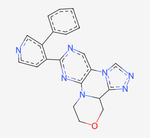 c1ccc(-c2cnccc2-c2ncc3c(n2)N2CCOCC2c2nncn2-3)cc1